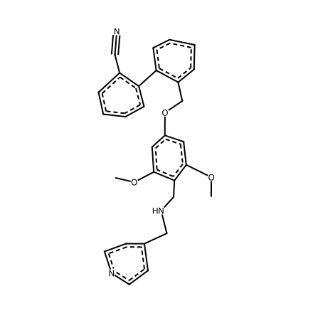 COc1cc(OCc2ccccc2-c2ccccc2C#N)cc(OC)c1CNCc1ccncc1